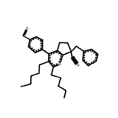 CCCCCc1nc2c(c(-c3ccc(C=O)cc3)c1CCCCC)CCC2(C#N)Cc1ccccc1